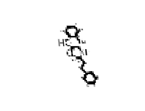 O=C(CCc1ccccc1)N[C@@H](Cc1ccccc1)C(=O)O